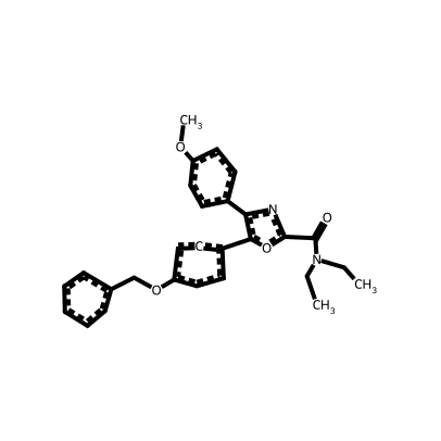 CCN(CC)C(=O)c1nc(-c2ccc(OC)cc2)c(-c2ccc(OCc3ccccc3)cc2)o1